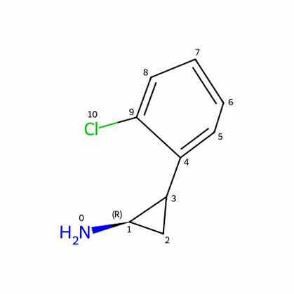 N[C@@H]1CC1c1ccccc1Cl